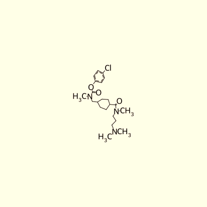 CN(C)CCCN(C)C(=O)C1CCC(CN(C)C(=O)Oc2ccc(Cl)cc2)CC1